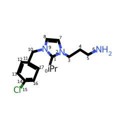 CC(C)C1N(CCCN)C=CN1Cc1ccc(Cl)cc1